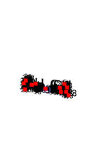 CC1(C)c2cc(/C=C/c3ccc4c(ccc5cc(N6c7ccccc7C=Cc7ccccc76)ccc54)c3)ccc2-c2ccc(N3c4ccccc4Cc4ccccc43)cc21